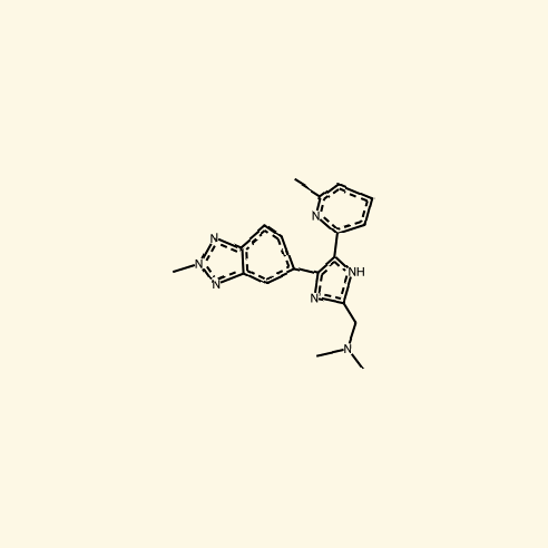 Cc1cccc(-c2[nH]c(CN(C)C)nc2-c2ccc3nn(C)nc3c2)n1